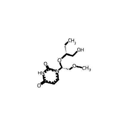 CC[C@H](CO)O[C@H](COC)n1ccc(=O)[nH]c1=O